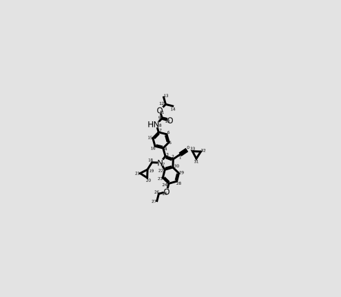 C#Cc1c(-c2ccc(NC(=O)OC(C)C)cc2)n(CC2CC2)c2cc(OCC)ccc12.C1CC1